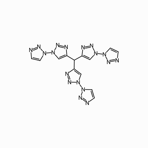 c1cn(-n2cc(C(c3cn(-n4ccnn4)nn3)c3cn(-n4ccnn4)nn3)nn2)nn1